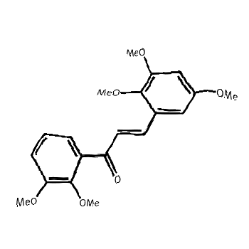 COc1cc(C=CC(=O)c2cccc(OC)c2OC)c(OC)c(OC)c1